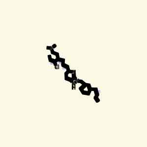 C=C/C=C\c1cccc(Cn2[nH]c3c2=NC(/C=C/C=C(CCN(C)C)\C(Cl)=C/C)CC=3)c1